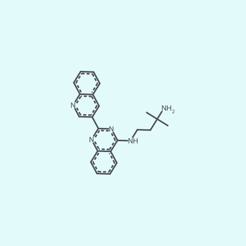 CC(C)(N)CCNc1nc(-c2cnc3ccccc3c2)nc2ccccc12